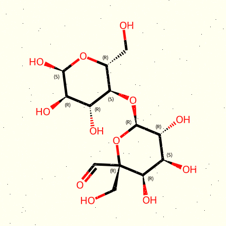 O=C[C@]1(CO)O[C@@H](O[C@H]2[C@H](O)[C@@H](O)[C@@H](O)O[C@@H]2CO)[C@H](O)[C@@H](O)[C@H]1O